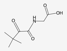 CC(C)(C)C(=O)C(=O)NCC(=O)O